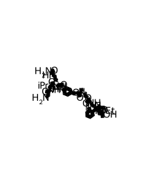 CCOCc1nc2c(NC(=O)OCCN(C)C(=O)OCc3ccc(NC(=O)[C@@H](CCCNC(N)=O)NC(=O)C(NC(=O)CN)C(C)C)cc3)nc3ccccc3c2n1CC(C)(C)O